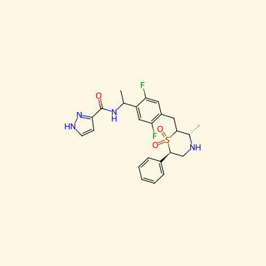 CC(NC(=O)c1cc[nH]n1)c1cc(F)c(CC2[C@H](C)NC[C@@H](c3ccccc3)S2(=O)=O)cc1F